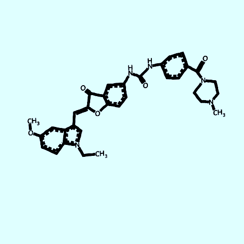 CCn1cc(/C=C2\Oc3ccc(NC(=O)Nc4ccc(C(=O)N5CCN(C)CC5)cc4)cc3C2=O)c2cc(OC)ccc21